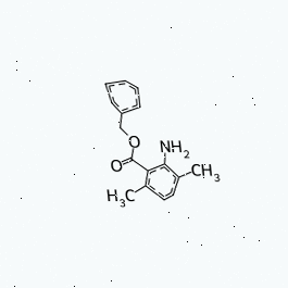 Cc1ccc(C)c(C(=O)OCc2ccccc2)c1N